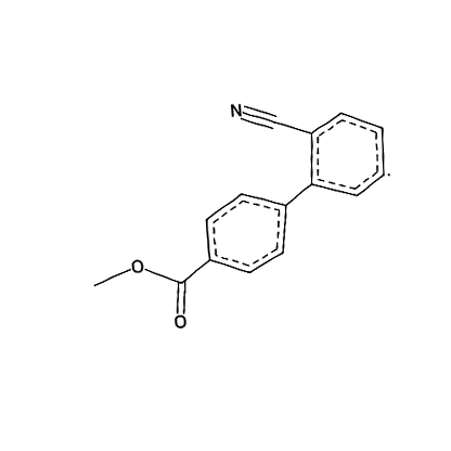 COC(=O)c1ccc(-c2c[c]ccc2C#N)cc1